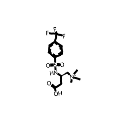 C[N+](C)(C)C[C@@H](CC(=O)O)NS(=O)(=O)c1ccc(C(F)(F)F)cc1